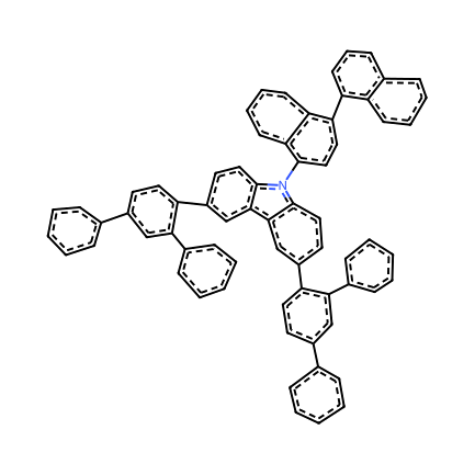 c1ccc(-c2ccc(-c3ccc4c(c3)c3cc(-c5ccc(-c6ccccc6)cc5-c5ccccc5)ccc3n4-c3ccc(-c4cccc5ccccc45)c4ccccc34)c(-c3ccccc3)c2)cc1